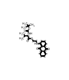 CC(C)[C@H](NC(=O)OC(C)(C)C)C(=O)OCCNc1cccc2c1C(=O)c1ccccc1C2=O